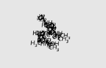 CCN(CC)C(=O)N[C@H]1C[C@@H]2c3cccc4[nH]cc(c34)C[C@H]2N(C)C1.CC[C@@H](CO)NC(=O)[C@@H]1C=C2c3cccc4[nH]cc(c34)C[C@H]2N(C)C1.CNCCc1ccccn1